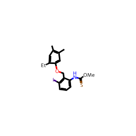 CCc1cc(C)c(C)cc1OCc1c(I)cccc1NC(=S)OC